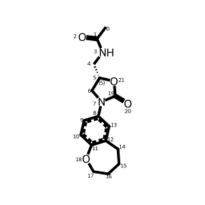 CC(=O)NC[C@H]1CN(c2ccc3c(c2)CCCCO3)C(=O)O1